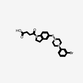 O=C(O)CCC(=O)N1CCc2cc(SN3CCN(c4cccc(Br)c4)CC3)ccc21